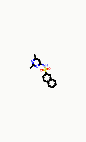 Cc1cc(NS(=O)(=O)c2ccc3ccccc3c2)nc(C)n1